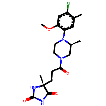 COc1cc(Cl)c(C)cc1N1CCN(C(=O)CC[C@@]2(C)NC(=O)NC2=O)C[C@@H]1C